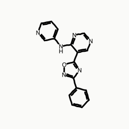 c1ccc(-c2noc(-c3cncnc3Nc3cccnc3)n2)cc1